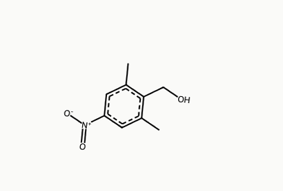 Cc1cc([N+](=O)[O-])cc(C)c1CO